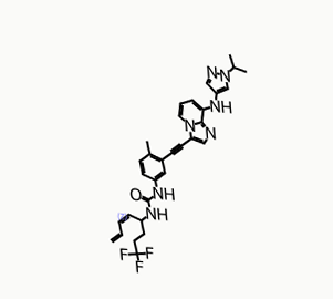 C=C/C=C\C(CCC(F)(F)F)NC(=O)Nc1ccc(C)c(C#Cc2cnc3c(Nc4cnn(C(C)C)c4)cccn23)c1